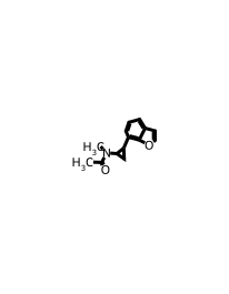 CC(=O)N(C)C1CC1c1cccc2ccoc12